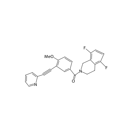 COc1ccc(C(=O)N2CCc3c(F)ccc(F)c3C2)cc1C#Cc1ccccn1